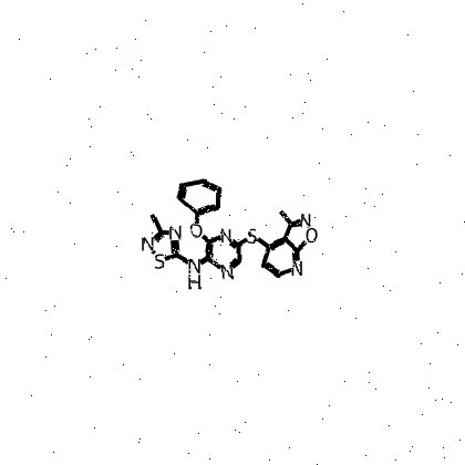 Cc1nsc(Nc2ncc(Sc3ccnc4onc(C)c34)nc2Oc2ccccc2)n1